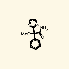 COC(C(N)=O)(c1ccccc1)c1nccs1